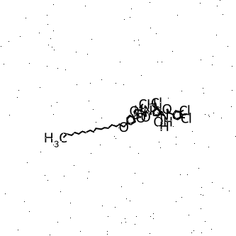 CCCCCCCCCCCCCCCCOc1ccc(S(=O)(=O)C(CC)C(=O)Nc2cc(O)c(NC(=O)c3ccc(Cl)c(Cl)c3)cc2Cl)cc1